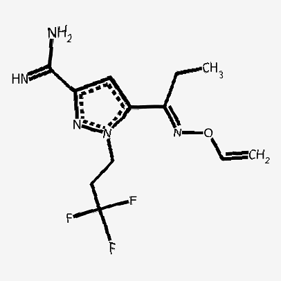 C=CO/N=C(\CC)c1cc(C(=N)N)nn1CCC(F)(F)F